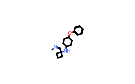 C/N=C\C1(NC2CCC(Oc3ccccc3)CC2)CCC1